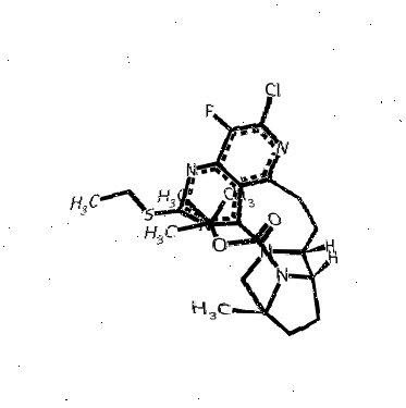 CCSc1nc2c3c(nc(Cl)c(F)c3n1)CC[C@@H]1[C@@H]3CC[C@](C)(CN21)N3C(=O)OC(C)(C)C